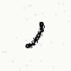 c1ccc2oc(-c3ccc(-c4nc5cc6cc7sc(-c8ccc(-c9cc%10ccccc%10o9)s8)nc7cc6cc5s4)s3)cc2c1